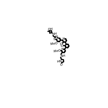 COc1nc(-c2cccc(-c3ccnc(-c4cc(OC)c5nc(CNC6CC(C)(O)C6)nn5c4)c3Cl)c2Cl)ccc1CNCC1CCC(=O)N1